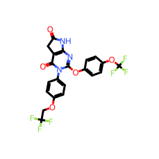 O=C1Cc2c(nc(Oc3ccc(OC(F)(F)F)cc3)n(-c3ccc(OCC(F)(F)F)cc3)c2=O)N1